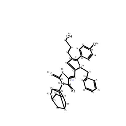 O=C1/C(=C/c2cc(CCCO)c(-c3ccc(Cl)cc3)n2Cc2ccccc2)SC(=S)N1C1C2CC3CC(C2)CC1C3